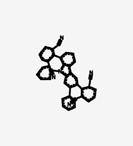 N#Cc1cccc(C#N)c1-c1cc2c3cccc(-c4c(C#N)cccc4C#N)c3n(-c3ccccc3)c2cc1-c1ccccc1